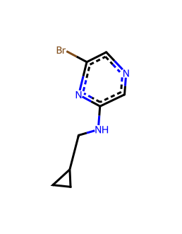 Brc1cncc(NCC2CC2)n1